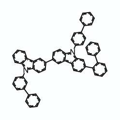 c1ccc(-c2ccc(-n3c4ccc(-c5ccc6c(c5)c5ccccc5n6-c5cccc(-c6ccccc6)c5)cc4c4ccc(-c5ccccc5-c5ccccc5)cc43)cc2)cc1